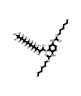 CCCCCCOC(=O)Nc1ccc(NC(=O)OCCCCCC)c(OC(F)=C(F)C(F)(F)C(F)(F)C(F)(F)C(F)(F)C(F)(F)C(F)(F)C(F)(F)F)c1